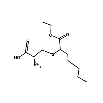 CCCCCC(SC[C@H](N)C(=O)O)C(=O)OCC